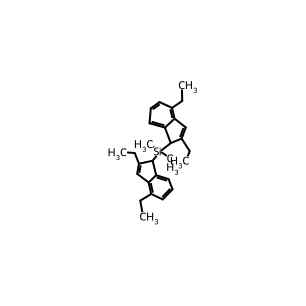 CCC1=Cc2c(CC)cccc2C1[Si](C)(C)C1C(CC)=Cc2c(CC)cccc21